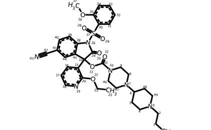 CCCN1CCC(N2CCN(C(=O)OC3(c4cccnc4OCC)C(=O)N(S(=O)(=O)c4ccccc4OC)c4ccc(C#N)cc43)CC2)CC1